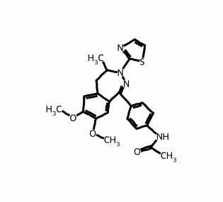 COc1cc2c(cc1OC)C(c1ccc(NC(C)=O)cc1)=NN(c1nccs1)C(C)C2